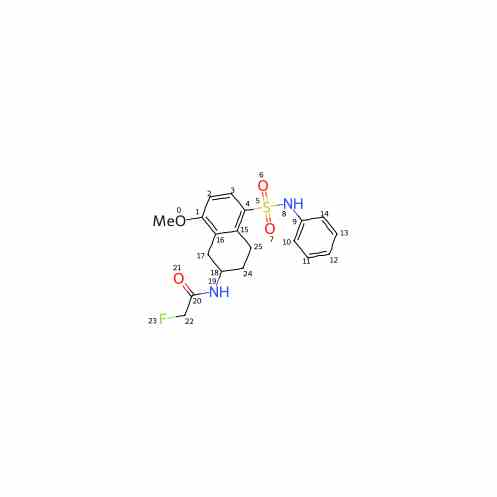 COc1ccc(S(=O)(=O)Nc2ccccc2)c2c1CC(NC(=O)CF)CC2